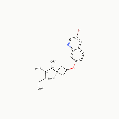 CO[C@]1([C@@H](OC(C)=O)[C@H](CCOC(C)=O)OC(C)=O)C[C@@H](Oc2ccc3cc(Br)cnc3c2)C1